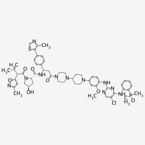 COc1cc(N2CCC(N3CCN(C(=O)CC(NC(=O)[C@@H]4C[C@@H](O)CN4C(=O)C(c4cc(C)no4)C(C)C)c4ccc(-c5scnc5C)cc4)CC3)CC2)ccc1Nc1ncc(Cl)c(Nc2ccccc2P(C)(C)=O)n1